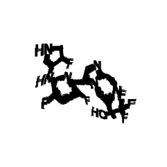 CC(O)(c1cn2c(-c3nc(NC4CNCC4F)c(F)cc3F)cnc2cn1)C(F)(F)F